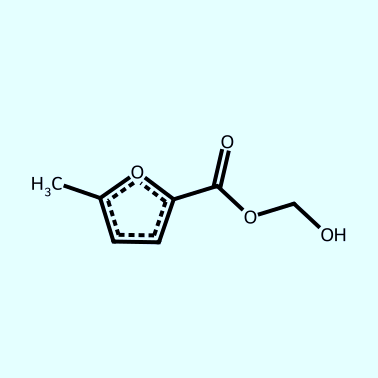 Cc1ccc(C(=O)OCO)o1